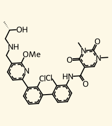 COc1nc(-c2cccc(-c3cccc(NC(=O)c4cn(C)c(=O)n(C)c4=O)c3Cl)c2Cl)ccc1CNC[C@H](C)O